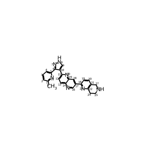 Cc1cccc(-c2n[nH]cc2-c2ccc3ncc(-c4ccc5c(n4)CCNC5)cc3n2)n1